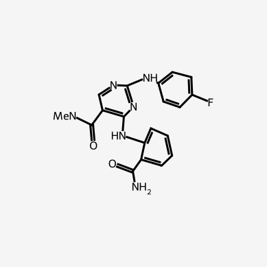 CNC(=O)c1cnc(Nc2ccc(F)cc2)nc1Nc1ccccc1C(N)=O